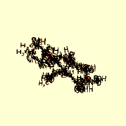 CC[C@H]1c2cc3[nH]c4c(c3C)C(=O)C(C(=O)OC)c4c3nc(cc4[nH]c(cc(n2)[C@@H]1C)c(C(C)=O)c4C)[C@@H](C)[C@@H]3CCC(=O)NCCCC(NC(=O)c1cn2c(n1)NNN(C)C2=O)C(=O)NNC(=O)OCCSSC[C@H](NC(=O)[C@H](CC(=O)NCCS(=O)(=O)O)NC(=O)CC[C@H](NC(=O)c1ccc(NCc2cnc3nc(N)[nH]c(=O)c3n2)cc1)C(=O)O)C(=O)O